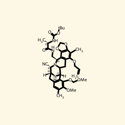 C=CCOc1c(C)c2c(c3c1CC1[C@H]4N[C@H](Cc5cc(C)c(OC)c(OCOC)c54)[C@H](C#N)N1[C@H]3CNC(=O)[C@H](C)NC(=O)OC(C)(C)C)OCO2